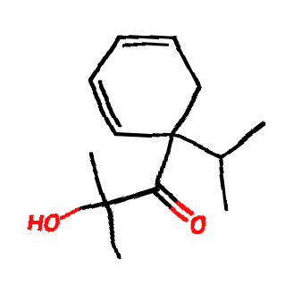 CC(C)C1(C(=O)C(C)(C)O)C=CC=CC1